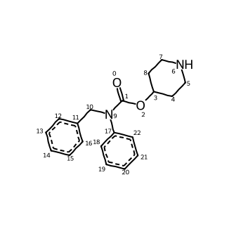 O=C(OC1CCNCC1)N(Cc1ccccc1)c1ccccc1